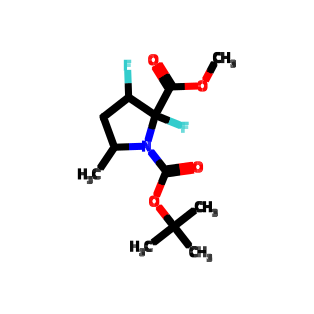 COC(=O)C1(F)C(F)CC(C)N1C(=O)OC(C)(C)C